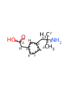 CC(C)(N)Cc1cccc(CC(=O)O)c1